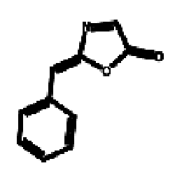 O=C1C=NC(=Cc2ccccc2)O1